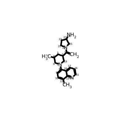 C=C(C1CC(C)CN(c2ccc(C)c3ncccc23)C1)N1CCC(N)C1